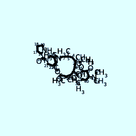 CO[C@]1(C)C[C@@H](C)CN(C)C2(CCN(C(=O)[C@@H]3CCCN3)CC2)COC(=O)C(C)(C)C(=O)[C@H](C)[C@H]1O[C@@H]1O[C@H](C)C[C@H](N(C)C)[C@H]1O